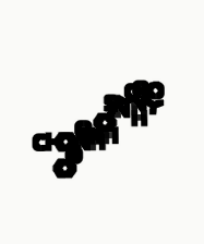 COC(=O)C(NC(=O)c1csc(-c2ccc(NC(=O)Nc3ccc(Cl)cc3Oc3ccccc3)cc2)n1)C(C)C